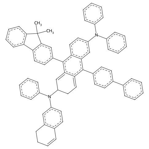 CC1(C)c2ccccc2-c2ccc(-c3c4c(c(-c5ccc(-c6ccccc6)cc5)c5cc(N(c6ccccc6)c6ccccc6)ccc35)=CCC(N(c3ccccc3)c3ccc5c(c3)CCC=C5)C=4)cc21